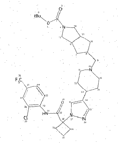 CC(C)(C)OC(=O)N1CC2CC(CN3CCC(c4cnn(C5(C(=O)Nc6ccc(C(F)(F)F)cc6Cl)CCC5)c4)CC3)CC2C1